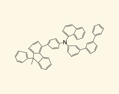 CC1(c2ccccc2)c2ccccc2-c2c(-c3ccc(N(c4cccc(-c5cccc(-c6ccccc6)c5)c4)c4cccc5ccccc45)cc3)cccc21